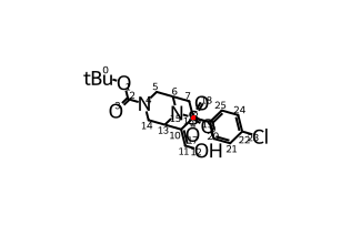 CC(C)(C)OC(=O)N1CC2CC(=O)/C(=C\O)C(C1)N2S(=O)(=O)c1ccc(Cl)cc1